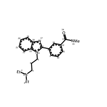 CCN(CC)CCCn1c(-c2cccc(C(=O)NC)c2)nc2ccccc21